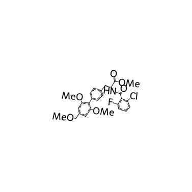 COCc1cc(OC)c(-c2ccc(C[C@H](NC(=O)c3c(F)cccc3Cl)C(=O)OC)cc2)c(OC)c1